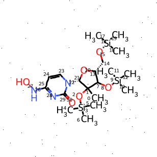 CC1(O[Si](C)(C)C)C(O[Si](C)(C)C)[C@@H](CO[Si](C)(C)C)O[C@H]1n1ccc(NO)nc1=O